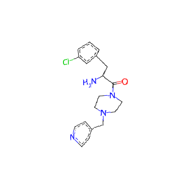 NC(Cc1cccc(Cl)c1)C(=O)N1CCN(Cc2ccncc2)CC1